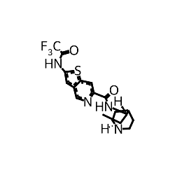 C[C@H]1[C@H](NC(=O)c2cc3sc(NC(=O)C(F)(F)F)cc3cn2)C2CCN1CC2